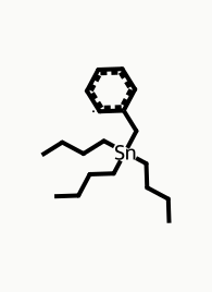 CCC[CH2][Sn]([CH2]CCC)([CH2]CCC)[CH2]c1[c]cccc1